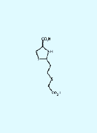 O=C(O)CSCCC1NC(C(=O)O)CS1